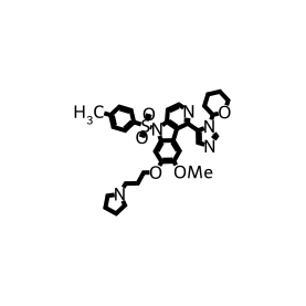 COc1cc2c3c(-c4cncn4C4CCCCO4)nccc3n(S(=O)(=O)c3ccc(C)cc3)c2cc1OCCCN1CCCC1